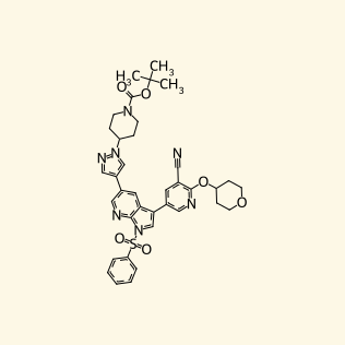 CC(C)(C)OC(=O)N1CCC(n2cc(-c3cnc4c(c3)c(-c3cnc(OC5CCOCC5)c(C#N)c3)cn4S(=O)(=O)c3ccccc3)cn2)CC1